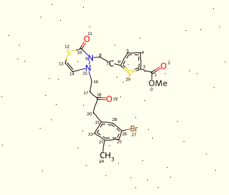 COC(=O)c1ccc(CCN2C(=O)SC=CN2CCC(=O)Cc2cc(C)cc(Br)c2)s1